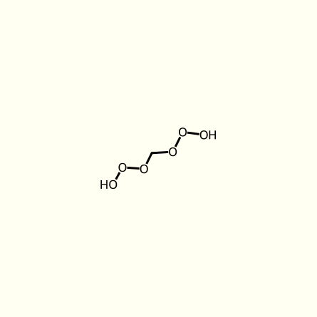 OOOCOOO